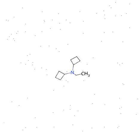 CCN(C1CCC1)C1CCC1